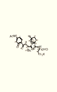 CC(=O)Nc1ccc(C(=O)N[C@H](C(=O)N2C[C@@H]3CC[C@@]2(C(=O)N[C@H](C=O)CC(=O)O)C3)C(C)(C)C)c(Cl)c1